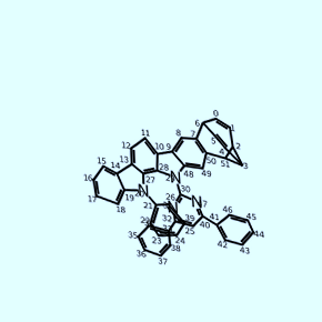 C1=CC2C3C=CC1c1cc4c5ccc6c7ccccc7n(-c7ccccc7)c6c5n(-c5nc(-c6ccccc6)cc(-c6ccccc6)n5)c4cc1C23